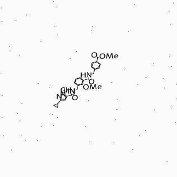 COC(=O)c1ccc(CNC(=O)c2cccc(CNC(=O)c3cc(C4CC4)nn3C)c2OC)cc1